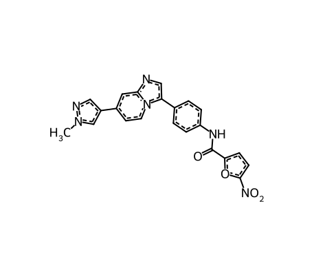 Cn1cc(-c2ccn3c(-c4ccc(NC(=O)c5ccc([N+](=O)[O-])o5)cc4)cnc3c2)cn1